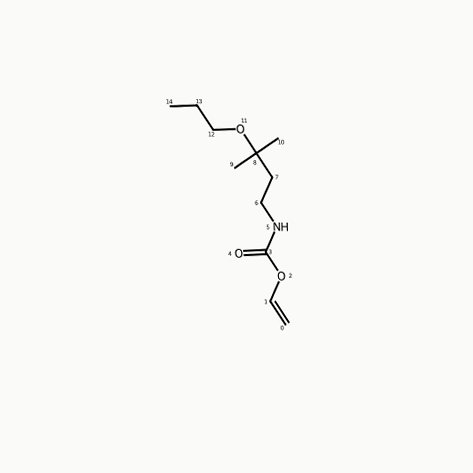 C=COC(=O)NCCC(C)(C)OCCC